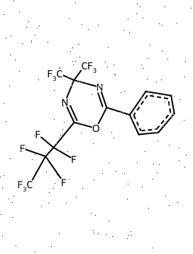 FC(F)(F)C(F)(F)C(F)(F)C1=NC(C(F)(F)F)(C(F)(F)F)N=C(c2ccccc2)O1